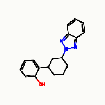 Oc1ccccc1C1CCCC(n2nc3ccccc3n2)C1